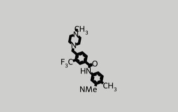 CNc1cc(NC(=O)c2ccc(CN3CCN(C)CC3)c(C(F)(F)F)c2)ccc1C